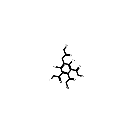 [2H]CC(=O)Cc1c(C)c(C(=O)C[2H])c(C(=O)C[2H])c(C(=O)C[2H])c1C#N